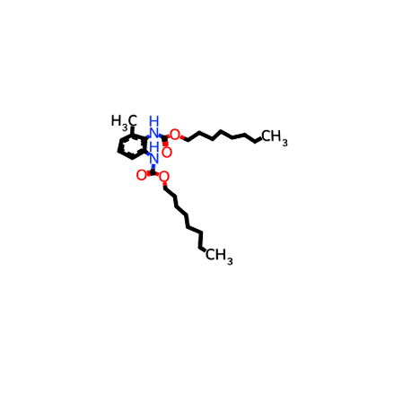 CCCCCCCCOC(=O)Nc1cccc(C)c1NC(=O)OCCCCCCCC